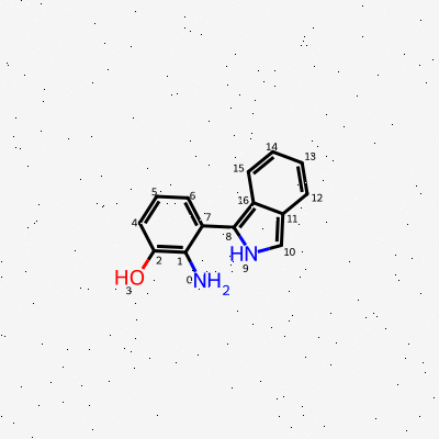 Nc1c(O)cccc1-c1[nH]cc2ccccc12